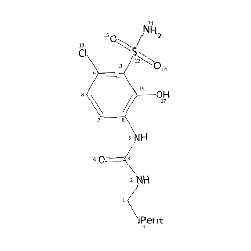 CCCC(C)CNC(=O)Nc1ccc(Cl)c(S(N)(=O)=O)c1O